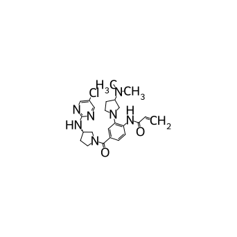 C=CC(=O)Nc1ccc(C(=O)N2CC[C@@H](Nc3ncc(Cl)cn3)C2)cc1N1CCC(N(C)C)C1